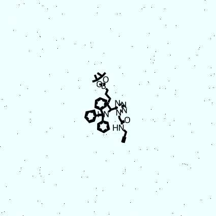 C#CCNC(=O)Cn1nnnc1C(CCCCB1OC(C)(C)C(C)(C)O1)NC(c1ccccc1)(c1ccccc1)c1ccccc1